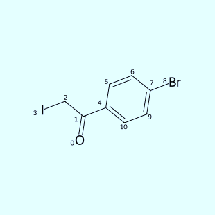 O=C(CI)c1ccc(Br)cc1